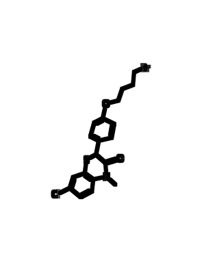 CN1C(=O)C(c2ccc(OCCCCBr)cc2)Sc2cc(Cl)ccc21